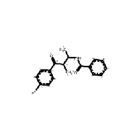 CC(NC(=O)c1ccccc1)C(C)C(=O)c1ccc(F)cc1